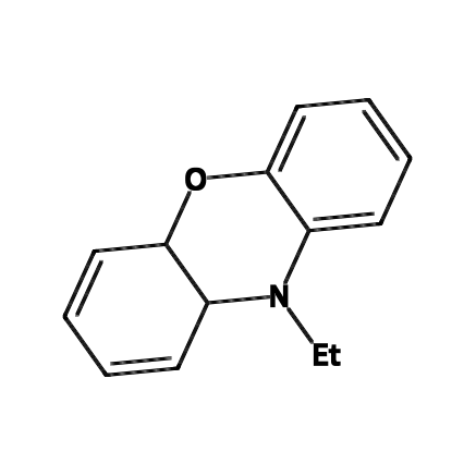 CCN1c2ccccc2OC2C=CC=CC21